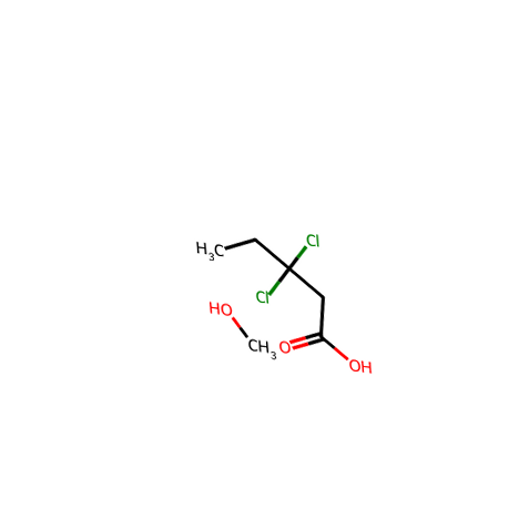 CCC(Cl)(Cl)CC(=O)O.CO